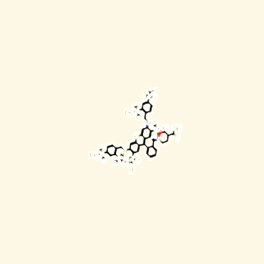 O=C(O)C1CCN(C(=O)c2ccccc2-c2c3cc(S(=O)(=O)O)/c(=N/Cc4ccc(S(=O)(=O)O)cc4S(=O)(=O)O)cc-3oc3cc(NCc4ccc(S(=O)(=O)O)cc4S(=O)(=O)O)c(S(=O)(=O)O)cc23)CC1